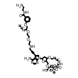 [N-]=[N+]=NCOC1CC(n2cc(C#CCNCCOCCOC(COc3cccc(C(=O)NCCN)c3)N=[N+]=[N-])c3c(N)ncnc32)OC1COP(=O)(O)OP(=O)(O)OP(=O)(O)O